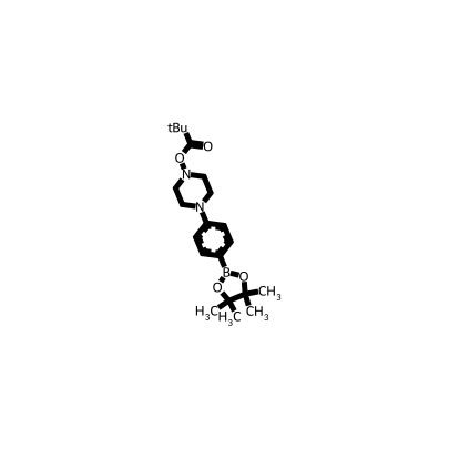 CC(C)(C)C(=O)ON1CCN(c2ccc(B3OC(C)(C)C(C)(C)O3)cc2)CC1